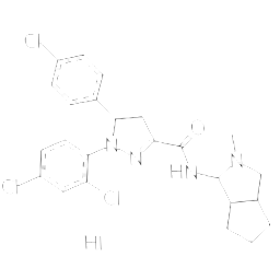 CN1CC2CCCC2C1NC(=O)C1=NN(c2ccc(Cl)cc2Cl)C(c2ccc(Cl)cc2)C1.I